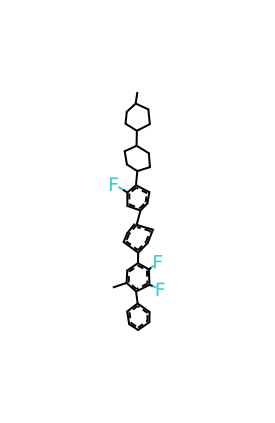 Cc1cc(-c2ccc(-c3ccc(C4CCC(C5CCC(C)CC5)CC4)c(F)c3)cc2)c(F)c(F)c1-c1ccccc1